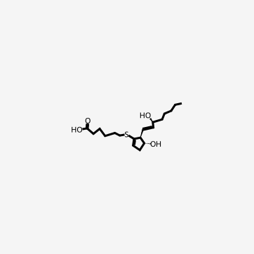 CCCCC[C@H](O)/C=C/[C@@H]1C(SCCCCCC(=O)O)=CC[C@H]1O